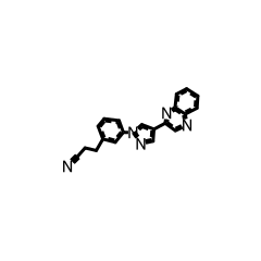 N#CCCc1cccc(-n2cc(-c3cnc4ccccc4n3)cn2)c1